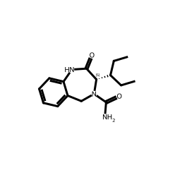 CCC(CC)[C@H]1C(=O)Nc2ccccc2CN1C(N)=O